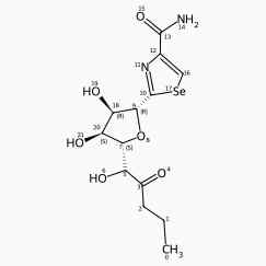 CCCC(=O)C(O)[C@H]1O[C@@H](c2nc(C(N)=O)c[se]2)[C@H](O)[C@@H]1O